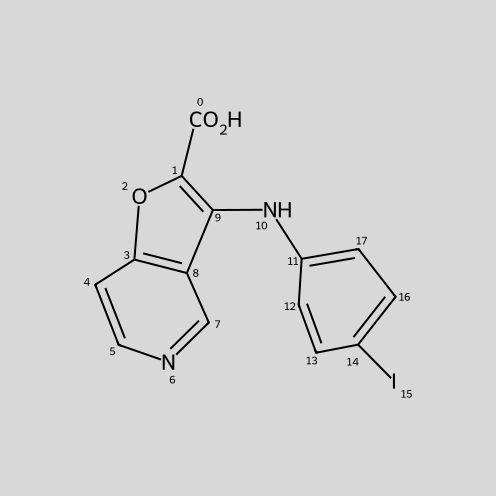 O=C(O)c1oc2ccncc2c1Nc1ccc(I)cc1